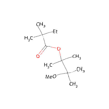 CCC(C)(C)C(=O)OC(C)(C)C(C)(C)OC